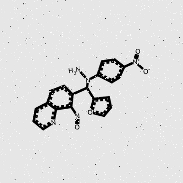 NN(c1ccc([N+](=O)[O-])cc1)C(c1ccco1)c1ccc2cccnc2c1N=O